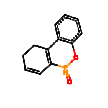 O=[PH]1Oc2ccccc2C2=C1C=CCC2